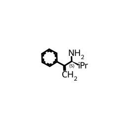 C=C(c1ccccc1)[C@@H](N)C(C)C